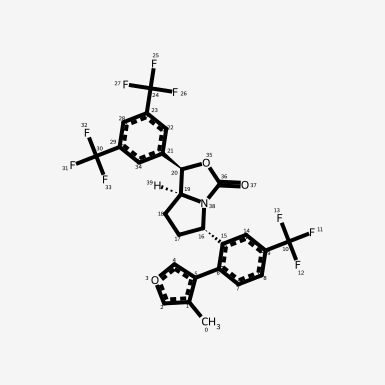 Cc1cocc1-c1ccc(C(F)(F)F)cc1[C@@H]1CC[C@H]2[C@@H](c3cc(C(F)(F)F)cc(C(F)(F)F)c3)OC(=O)N12